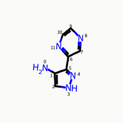 Nc1c[nH]nc1-c1cnccn1